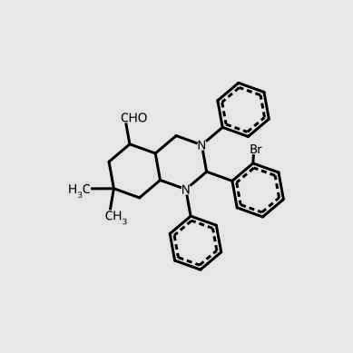 CC1(C)CC(C=O)C2CN(c3ccccc3)C(c3ccccc3Br)N(c3ccccc3)C2C1